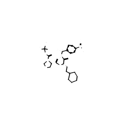 C[C@@H](NC(=S)[C@@H](CCC1CCCCC1)NC(=O)[C@@H]1CSCN1C(=O)OC(C)(C)C)c1ccc([N+](=O)[O-])cc1